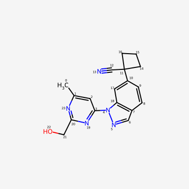 Cc1cc(-n2ncc3ccc(C4(C#N)CCC4)cc32)nc(CO)n1